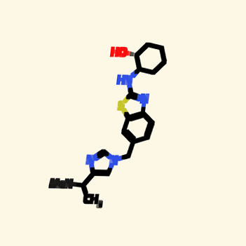 CNC(C)c1cn(Cc2ccc3nc(N[C@@H]4CCCC[C@H]4O)sc3c2)cn1